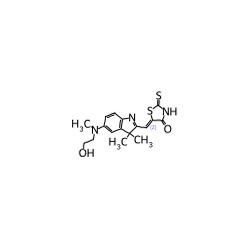 CN(CCO)c1ccc2c(c1)C(C)(C)C(/C=C1\SC(=S)NC1=O)=N2